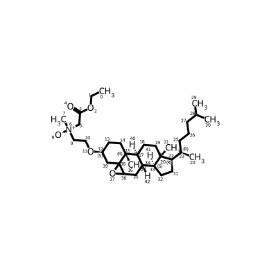 CCOC(=O)C[N+](C)([O-])CCO[C@H]1CC[C@]2(C)[C@H]3CC[C@]4(C)[C@@H]([C@H](C)CCCC(C)C)CC[C@H]4[C@@H]3CC3OC32C1